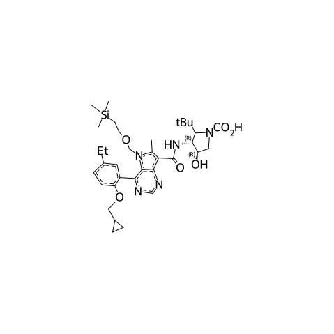 CCc1ccc(OCC2CC2)c(-c2ncnc3c(C(=O)N[C@@H]4C(C(C)(C)C)N(C(=O)O)C[C@H]4O)c(C)n(COCC[Si](C)(C)C)c23)c1